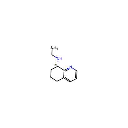 CCN[C@H]1CCCc2cccnc21